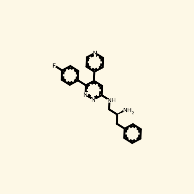 N[C@H](CNc1cc(-c2ccncc2)c(-c2ccc(F)cc2)nn1)Cc1ccccc1